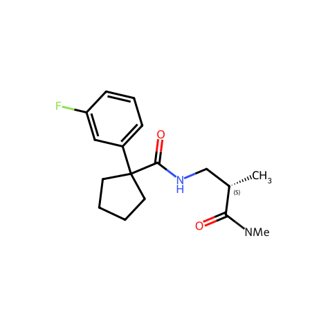 CNC(=O)[C@@H](C)CNC(=O)C1(c2cccc(F)c2)CCCC1